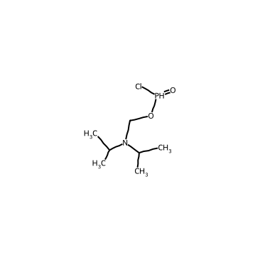 CC(C)N(CO[PH](=O)Cl)C(C)C